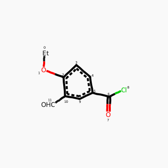 CCOc1ccc(C(=O)Cl)cc1C=O